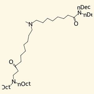 CCCCCCCCCCN(CCCCCCCCCC)C(=O)CCCCCCCN(C)CCCCCCCC(=O)CCN(CCCCCCCC)CCCCCCCC